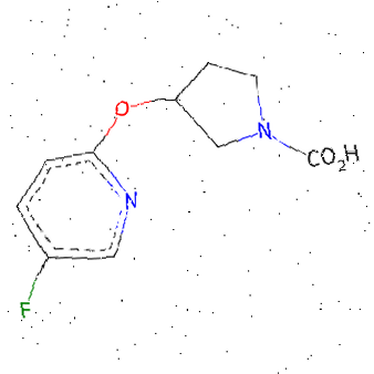 O=C(O)N1CCC(Oc2ccc(F)cn2)C1